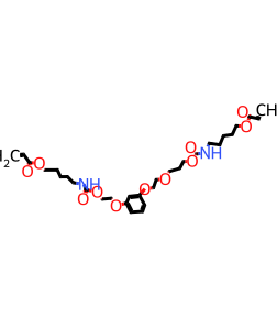 C=CC(=O)OCCCCCNC(=O)OCCCOCCOc1cccc(OCCOC(=O)NCCCCCOC(=O)C=C)c1